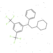 FC(F)(F)c1cc(C(CC2CCCCC2)c2ccccc2)cc(C(F)(F)F)c1